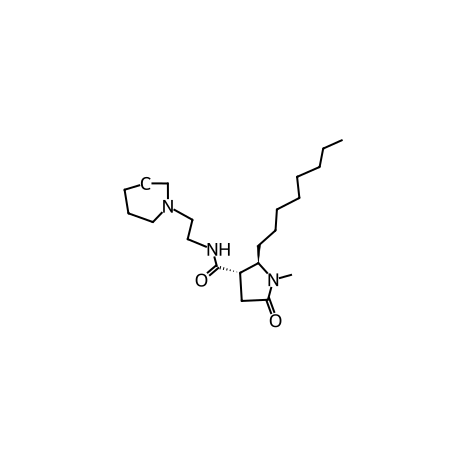 CCCCCCCC[C@@H]1[C@@H](C(=O)NCCN2CCCCC2)CC(=O)N1C